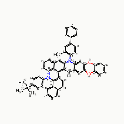 Cc1cc(-c2ccccc2)ccc1N1c2cc3c(cc2Bc2c1cc1ccccc1c2-c1ccc2ccccc2c1Nc1ccc(C(C)(C)C)cc1)Oc1ccccc1O3